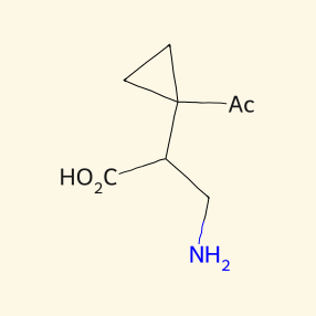 CC(=O)C1(C(CN)C(=O)O)CC1